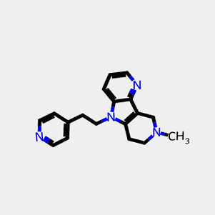 CN1CCc2c(c3ncccc3n2CCc2ccncc2)C1